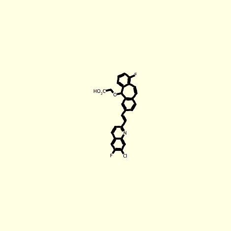 O=C(O)COC1c2cc(/C=C/c3ccc4cc(F)c(Cl)cc4n3)ccc2C=Cc2c(F)cccc21